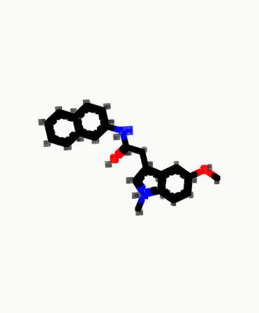 COc1ccc2c(c1)c([CH]C(=O)Nc1ccc3ccccc3c1)cn2C